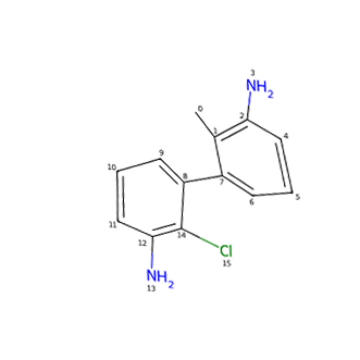 Cc1c(N)cccc1-c1cccc(N)c1Cl